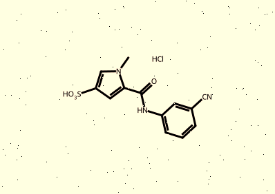 Cl.Cn1cc(S(=O)(=O)O)cc1C(=O)Nc1cccc(C#N)c1